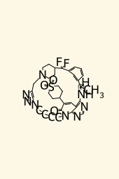 C[C@H]1Nc2ncnc3c2cc(C2CCS(=O)(=O)CC2)c(=O)n3CCCCn2cc(nn2)CN2CCC(CC2)C(F)(F)c2cccc1c2